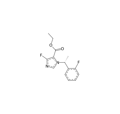 CCOC(=O)c1c(F)ncn1[C@H](C)c1ccccc1F